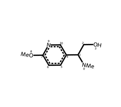 CNC(CO)c1ccc(OC)nc1